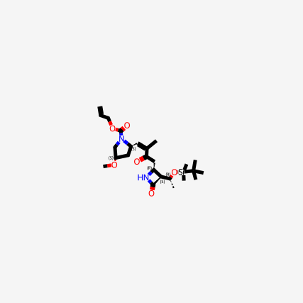 C=CCOC(=O)N1C[C@@H](OC)C[C@H]1C=C(C)C(=O)C[C@H]1NC(=O)[C@@H]1[C@@H](C)O[Si](C)(C)C(C)(C)C